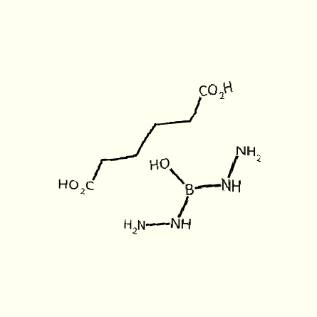 NNB(O)NN.O=C(O)CCCCC(=O)O